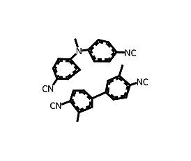 [C-]#[N+]c1ccc(-c2ccc([N+]#[C-])c(C)c2)cc1C.[C-]#[N+]c1ccc(N(C)c2ccc([N+]#[C-])cc2)cc1